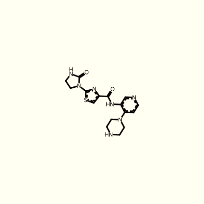 O=C(Nc1cnccc1N1CCNCC1)c1csc(N2CCNC2=O)n1